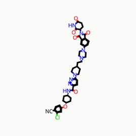 N#Cc1ccc(O[C@H]2CC[C@H](NC(=O)c3ccc(N4CCC(CCN5CCN(c6ccc7c(c6)C(=O)N(C6CCC(=O)NC6=O)C7=O)CC5)CC4)nn3)CC2)cc1Cl